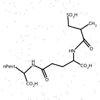 CCCCCC(NC(=O)CCC(NC(=O)C(C)CS(=O)(=O)O)C(=O)O)C(=O)O